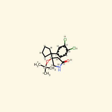 C[Si](C)(C)O[C@]1(C2(c3ccc(Cl)c(Cl)c3)CCCC2)CNC(=O)C1